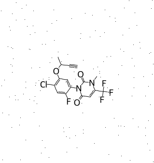 C#CC(C)Oc1cc(-n2c(=O)cc(C(F)(F)F)n(C)c2=O)c(F)cc1Cl